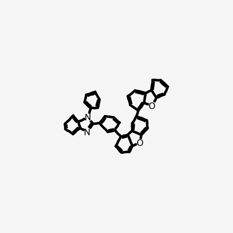 c1ccc(-n2c(-c3cccc(-c4cccc5oc6ccc(-c7cccc8c7oc7ccccc78)cc6c45)c3)nc3ccccc32)cc1